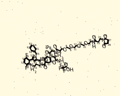 CC(C)[C@H](NC(=O)CCOCCOCCOCCOCCNC(=O)CCN1C(=O)C=CC1=O)C(=O)N(c1ccc(C(=O)N(CCCN)[C@@H](c2cc(-c3cc(F)ccc3F)cn2Cc2ccccc2)C(C)(C)C)cc1)[C@@H](C)C(N)=O.O=C(O)C(F)(F)F